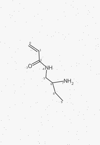 C=CC(=O)NCC(N)CC